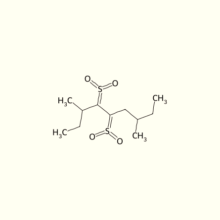 CCC(C)CC(C(C(C)CC)=S(=O)=O)=S(=O)=O